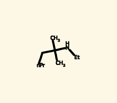 CCCCC(C)(C)NCC